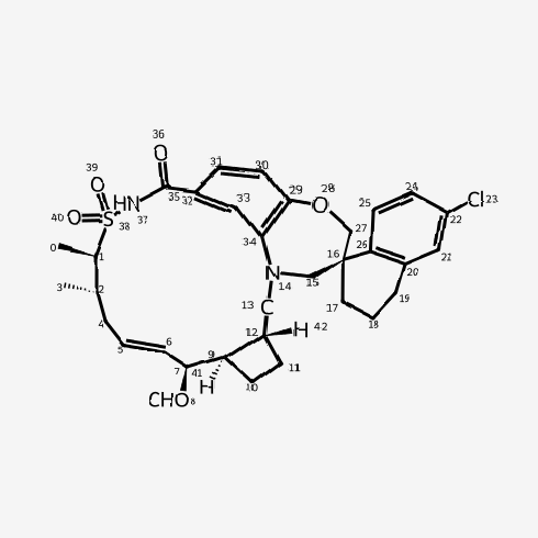 C[C@@H]1[C@@H](C)C/C=C/[C@H](C=O)[C@@H]2CC[C@H]2CN2C[C@@]3(CCCc4cc(Cl)ccc43)COc3ccc(cc32)C(=O)NS1(=O)=O